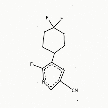 N#Cc1cnc(F)c(C2CCC(F)(F)CC2)c1